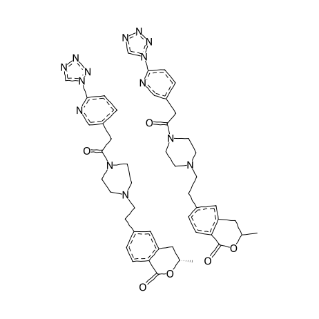 CC1Cc2cc(CCN3CCN(C(=O)Cc4ccc(-n5cnnn5)nc4)CC3)ccc2C(=O)O1.C[C@H]1Cc2cc(CCN3CCN(C(=O)Cc4ccc(-n5cnnn5)nc4)CC3)ccc2C(=O)O1